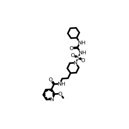 COc1ncccc1C(=O)NCCC1CCN(S(=O)(=O)NC(=O)NC2CCCCC2)CC1